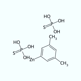 Cc1cc(C)c[c]([Zn])c1.OP(O)(O)=S.OP(O)(O)=S